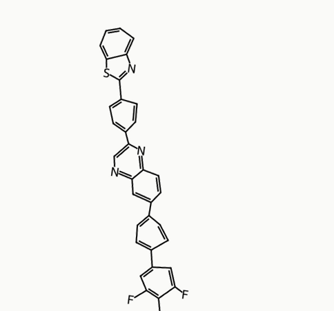 Fc1cc(-c2ccc(-c3ccc4nc(-c5ccc(-c6nc7ccccc7s6)cc5)cnc4c3)cc2)cc(F)c1F